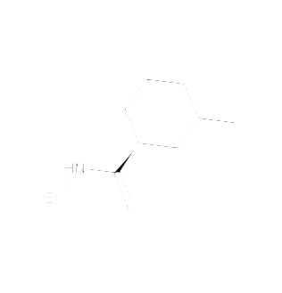 CCNC(=O)[C@H]1CCCC(C)C1